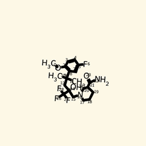 COc1ccc(F)cc1C(C)(C)CC(O)(CN1CCCC(C(N)=O)C1)C(F)(F)F